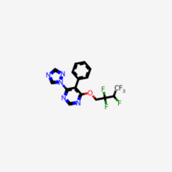 FC(C(F)(F)F)C(F)(F)COc1ncnc(-n2cncn2)c1-c1ccccc1